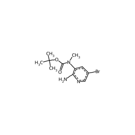 CN(C(=O)OC(C)(C)C)c1cc(Br)cnc1N